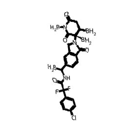 BC(NC(=O)C(F)(F)c1ccc(Cl)cc1)c1ccc2c(c1)CN([C@]1(B)C(=O)N(B)C(=O)CC1B)C2=O